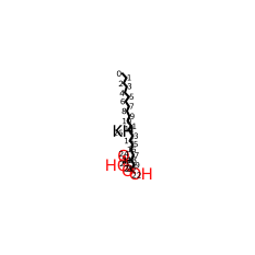 CCCCCCCCCCCCCCCCCCC(CC(=O)O)C(=O)O.[KH]